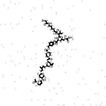 CC(=O)O[C@@H](C)/C=C\C(=O)N[C@@H]1C[C@H](C)[C@H](CCC(C)/C=C/[C@@H]2C[C@]3(CO3)C[C@@H](CC(=O)N3CCN(C(=O)OCc4ccc(NC(=O)[C@H](CCCNC(N)=O)NC(=O)[C@@H](NC(=O)CCCCCNC(=O)CBr)C(C)C)cc4)CC3)O2)O[C@@H]1C